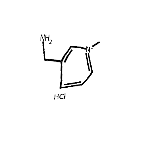 C[n+]1cccc(CN)c1.Cl